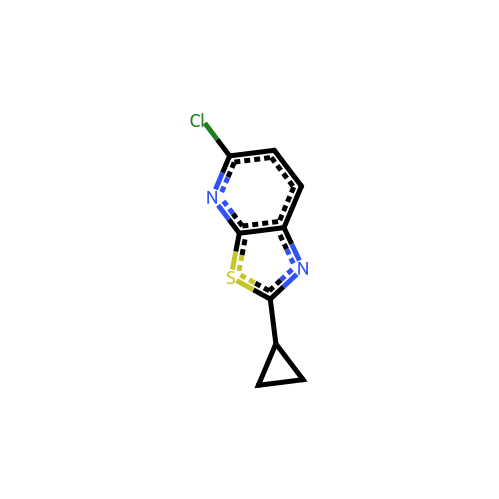 Clc1ccc2nc(C3CC3)sc2n1